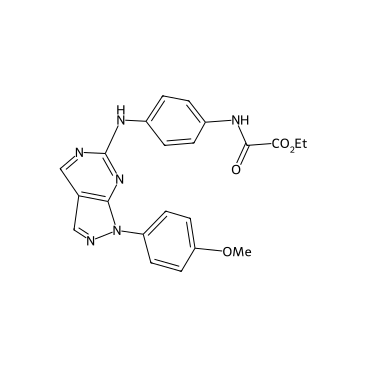 CCOC(=O)C(=O)Nc1ccc(Nc2ncc3cnn(-c4ccc(OC)cc4)c3n2)cc1